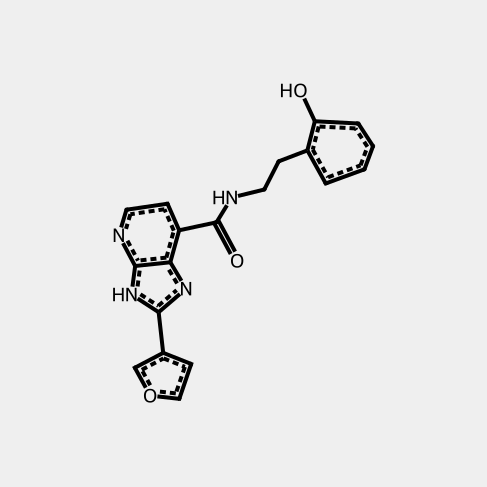 O=C(NCCc1ccccc1O)c1ccnc2[nH]c(-c3ccoc3)nc12